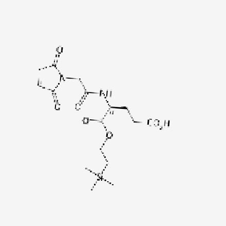 C[Si](C)(C)CCOC(=O)[C@H](CCC(=O)O)NC(=O)CN1C(=O)C=CC1=O